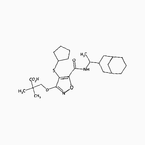 CC(NC(=O)c1onc(OCC(C)(C)C(=O)O)c1SC1CCCC1)C1CC2CCCC(C2)C1